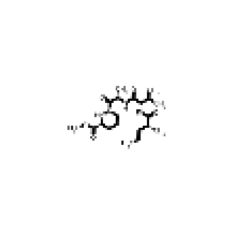 C/C=C/[C@@H](C)C(=O)N[C@H](C(=O)N[C@@H](C)C(=O)N1CCC[C@@H](C(=O)OC)N1)C(C)C